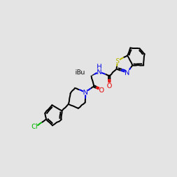 CC[C@H](C)[C@@H](NC(=O)c1nc2ccccc2s1)C(=O)N1CCC(c2ccc(Cl)cc2)CC1